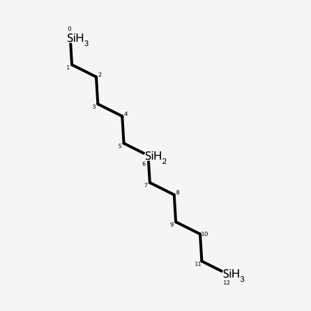 [SiH3]CCCCC[SiH2]CCCCC[SiH3]